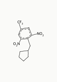 O=[N+]([O-])c1cc(C(F)(F)F)cc([N+](=O)[O-])c1CC1CCCC1